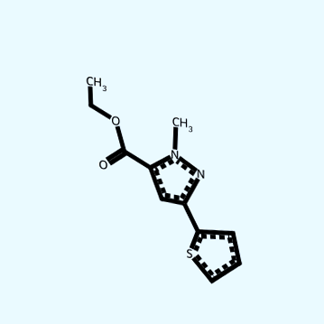 CCOC(=O)c1cc(-c2cccs2)nn1C